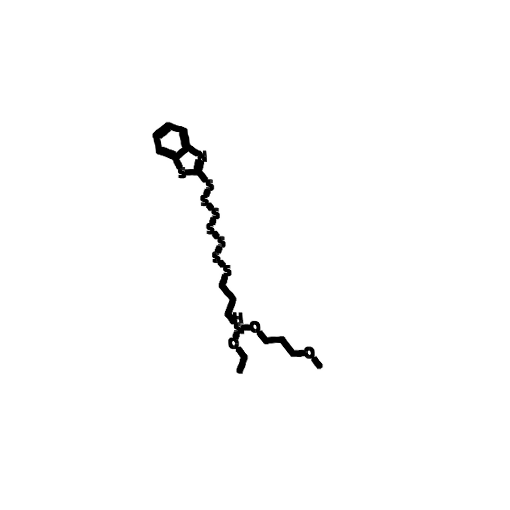 CCO[SiH](CCCSSSSSSSc1nc2ccccc2s1)OCCCOC